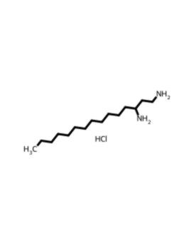 CCCCCCCCCCCCC(N)CCN.Cl